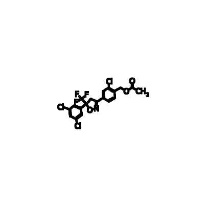 CC(=O)OCc1ccc(C2=NOC(c3cc(Cl)cc(Cl)c3)(C(F)(F)F)C2)cc1Cl